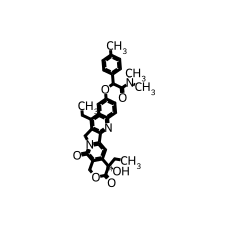 CCc1c2c(nc3ccc(OC(C(=O)N(C)C)c4ccc(C)cc4)cc13)-c1cc3c(c(=O)n1C2)COC(=O)[C@]3(O)CC